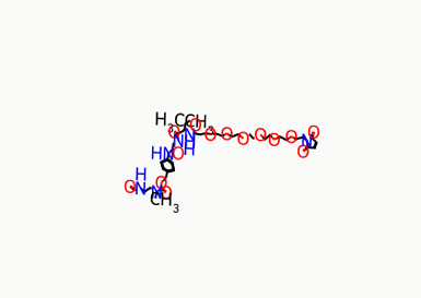 CC(C)C(NC(=O)CCOCCOCCOCCOCCOCCOCCN1C(=O)C=CC1=O)C(=O)NCC(=O)Nc1ccc(COC(=O)N(C)CCNC=O)cc1